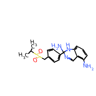 CC(C)S(=O)(=O)Cc1ccc(C2(N)N=Cc3c(N)cccc3N2)cc1